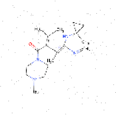 C=N/C(NC1(C)CC1)=C(\C)C(C(=O)N1CCN(C(C)(C)C)CC1)=C(C)C